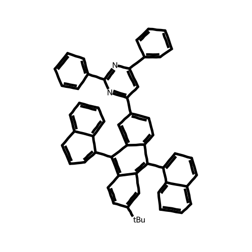 CC(C)(C)c1ccc2c(-c3cccc4ccccc34)c3cc(-c4cc(-c5ccccc5)nc(-c5ccccc5)n4)ccc3c(-c3cccc4ccccc34)c2c1